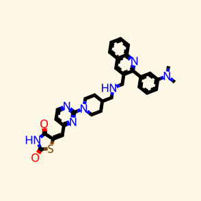 CN(C)c1cccc(-c2nc3ccccc3cc2CNCC2CCN(c3nccc(C=C4SC(=O)NC4=O)n3)CC2)c1